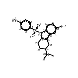 CC(C)c1ccc(S(=O)(=O)n2c3c(c4cc(F)ccc42)CC(N(C)C)CC3)cc1